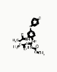 CCC(=O)Nc1cc(Sc2ccc(Cl)cc2)ccc1NC(=NC(=O)OC)NC(=O)OC